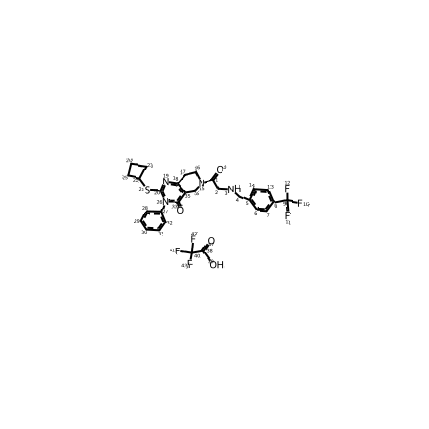 O=C(CNCc1ccc(C(F)(F)F)cc1)N1CCc2nc(SC3CCC3)n(-c3ccccc3)c(=O)c2C1.O=C(O)C(F)(F)F